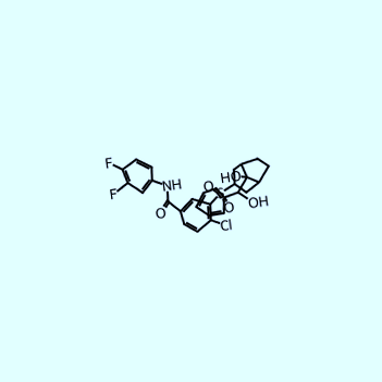 O=C(Nc1ccc(F)c(F)c1)c1ccc(Cl)c(S(=O)(=O)C2CC3CCC(C2)C3(O)C(O)c2ccccc2)c1